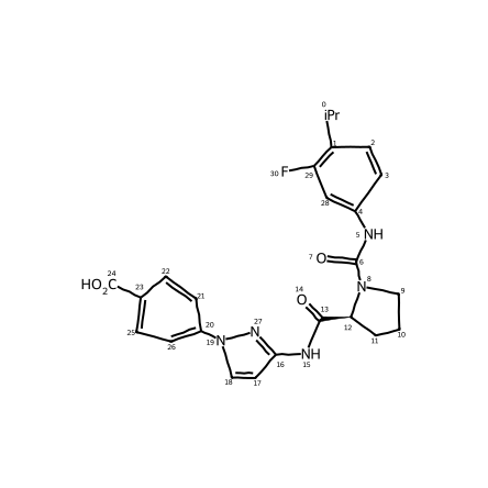 CC(C)c1ccc(NC(=O)N2CCC[C@H]2C(=O)Nc2ccn(-c3ccc(C(=O)O)cc3)n2)cc1F